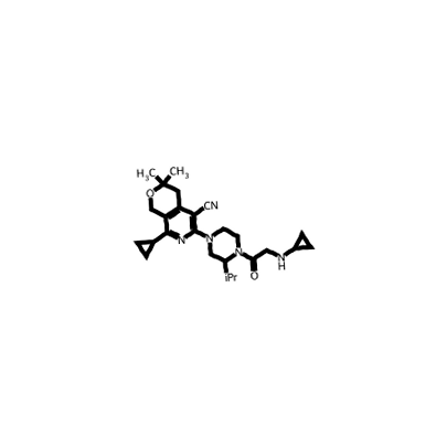 CC(C)C1CN(c2nc(C3CC3)c3c(c2C#N)CC(C)(C)OC3)CCN1C(=O)CNC1CC1